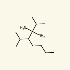 CCCCC(C(C)C)C(N)(N)C(C)C